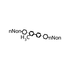 CCCCCCCCC[C@H]1CC[C@H](c2ccc(-c3ccc([C@H]4CC[C@H](CCCCCCCCC)CC4)c(C)c3)cc2)CC1